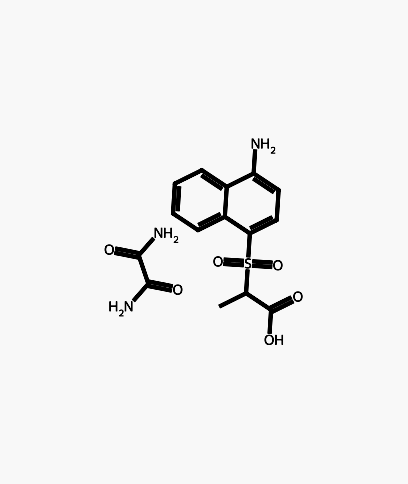 CC(C(=O)O)S(=O)(=O)c1ccc(N)c2ccccc12.NC(=O)C(N)=O